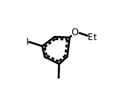 CCOc1cc(C)cc(I)c1